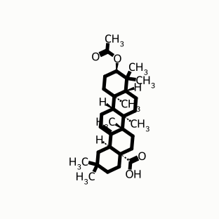 CC(=O)O[C@@H]1CC[C@]2(C)[C@H]3CC=C4[C@@H]5CC(C)(C)CC[C@]5(C(=O)O)CC[C@@]4(C)[C@]3(C)CC[C@H]2C1(C)C